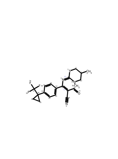 CC1CS/C(=N/C(=C(/C#N)C=O)c2ccc(C3(C(F)(F)F)CC3)cc2)N(C)C1